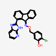 Oc1cc(CON=C2c3ccccc3-c3cccc(-c4nc5cccnc5[nH]4)c32)ccc1Br